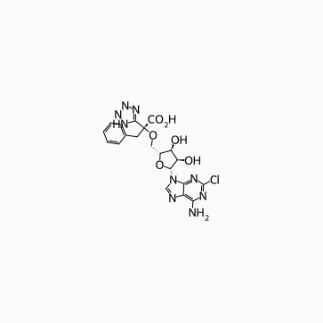 Nc1nc(Cl)nc2c1ncn2[C@@H]1O[C@H](CO[C@@](Cc2ccccc2)(C(=O)O)c2nnn[nH]2)[C@@H](O)[C@H]1O